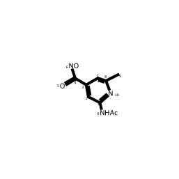 CC(=O)Nc1cc(C(=O)N=O)cc(C)n1